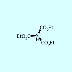 CCOC(=O)[SiH](C(=O)OCC)C(=O)OCC